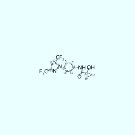 O=C(Nc1ccc(-n2nc(C(F)(F)F)cc2C(F)(F)F)cc1)C1(O)CC1